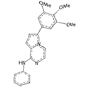 COc1cc(-c2ccc3c(Nc4ccccc4)nccn23)cc(OC)c1OC